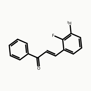 [2H]c1cccc(C=CC(=O)c2ccccc2)c1F